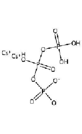 O=P([O-])([O-])OP(=O)(O)OP(=O)(O)O.[Cs+].[Cs+]